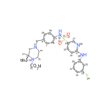 CC(C)(C)[C@@]1(C)CN(Cc2ccc(NS(=O)(=O)c3ccc(Nc4cccc(F)c4)nc3)cc2)CCN1C(=O)O